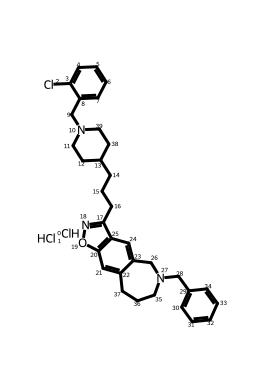 Cl.Cl.Clc1ccccc1CN1CCC(CCCc2noc3cc4c(cc23)CN(Cc2ccccc2)CCC4)CC1